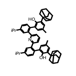 Cc1cc(-c2ccc(C(C)C)cc2-c2cccc(-c3cc(C(C)C)ccc3-c3cc(C)cc(C45CC6CC(CC(C6)C4)C5)c3O)n2)c(O)c(C23CC4CC(CC(C4)C2)C3)c1